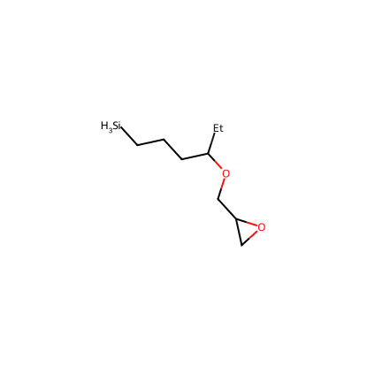 CCC(CCC[SiH3])OCC1CO1